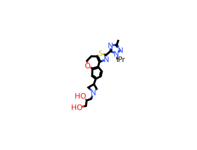 Cc1nc(-c2nc3c(s2)CCOc2cc(C4CN(C[C@H](O)CO)C4)ccc2-3)n(C(C)C)n1